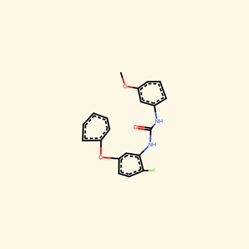 COc1cccc(NC(=O)Nc2cc(Oc3ccccc3)ccc2F)c1